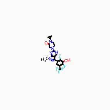 Cn1nc(-c2cc(C(F)(F)F)c(F)c(O)c2F)c2cnc(N3CCN(C4CC4)C(=O)C3)nc21